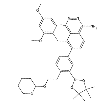 COc1ccc(Cc2c(-c3ccc(CCOC4CCCCO4)c(B4OC(C)(C)C(C)(C)O4)c3)ccc3c(N)nnc(C)c23)c(OC)c1